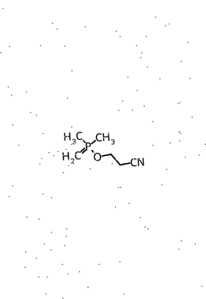 C=P(C)(C)OCCC#N